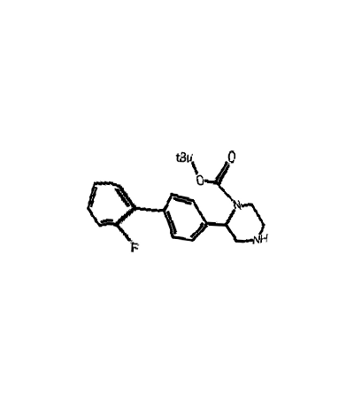 CC(C)(C)OC(=O)N1CCNCC1c1ccc(-c2ccccc2F)cc1